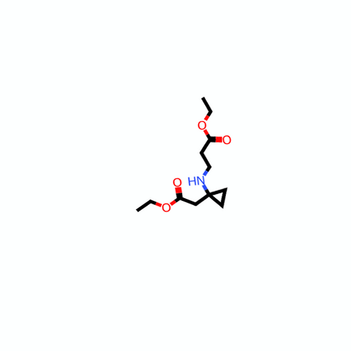 CCOC(=O)CCNC1(CC(=O)OCC)CC1